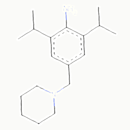 CC(C)c1cc(CN2CCCCC2)cc(C(C)C)c1N